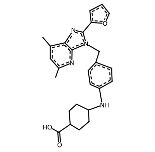 Cc1cc(C)c2nc(-c3ccco3)n(Cc3ccc(NC4CCC(C(=O)O)CC4)cc3)c2n1